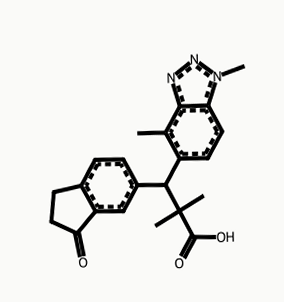 Cc1c(C(c2ccc3c(c2)C(=O)CC3)C(C)(C)C(=O)O)ccc2c1nnn2C